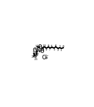 CCCCCCCCCCCC(=O)OC(C)NC(=O)C[N+](C)(C)C.[Cl-]